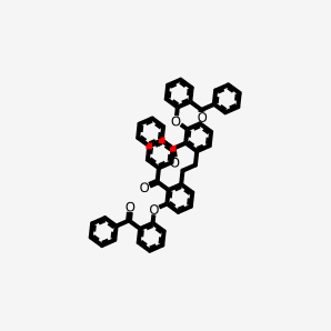 O=C(c1ccccc1)c1ccccc1Oc1cccc(CCc2cccc(Oc3ccccc3C(=O)c3ccccc3)c2C(=O)c2ccccc2)c1C(=O)c1ccccc1